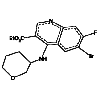 CCOC(=O)c1cnc2cc(F)c(Br)cc2c1NC1CCCOC1